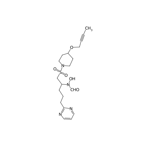 CC#CCOC1CCN(S(=O)(=O)CC(CCCc2ncccn2)N(O)C=O)CC1